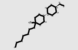 CCCCCCCC1(F)CCC([C@H]2CC[C@H](CC)CC2)CC1